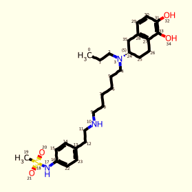 CCCN(CCCCCCNCCc1ccc(NS(C)(=O)=O)cc1)[C@H]1CCc2c(ccc(O)c2O)C1